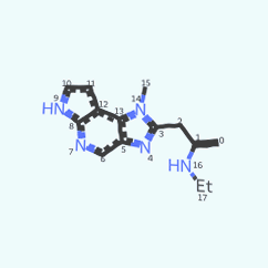 C=C(Cc1nc2cnc3[nH]ccc3c2n1C)NCC